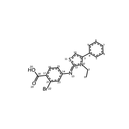 CCn1c(-c2ccccc2)csc1=Nc1ccc(C(=O)O)c(Br)c1